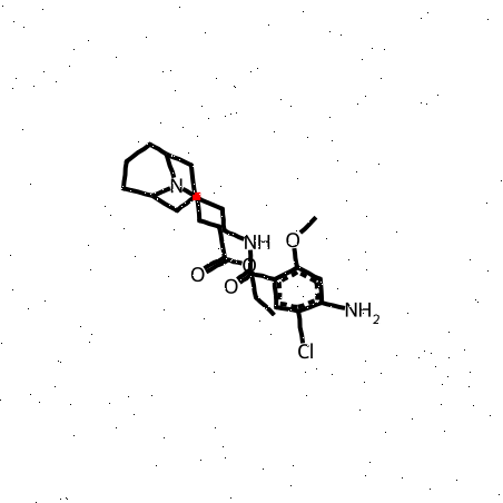 CCOC(=O)CCCN1C2CCCC1CC(CCNC(=O)c1cc(Cl)c(N)cc1OC)C2